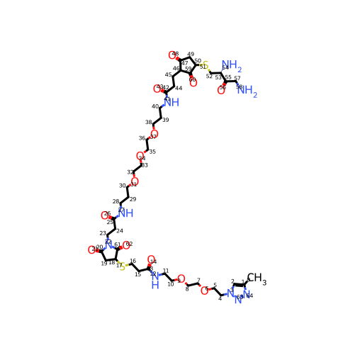 Cc1cn(CCOCCOCCNC(=O)CCSC2CC(=O)N(CCC(=O)NCCCOCCOCCOCCCNC(=O)CCC3C(=O)CC(SC[C@H](N)C(=O)CN)C3=O)C2=O)nn1